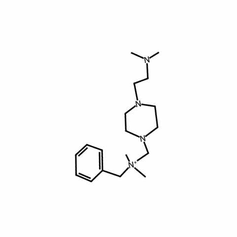 CN(C)CCN1CCN(C[N+](C)(C)Cc2ccccc2)CC1